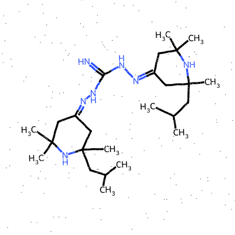 CC(C)CC1(C)CC(=NNC(=N)NN=C2CC(C)(C)NC(C)(CC(C)C)C2)CC(C)(C)N1